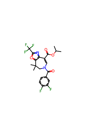 CC(C)OC(=O)C1=CN(C(=O)c2ccc(F)c(F)c2)CC(C)(C)c2oc(C(F)(F)F)nc21